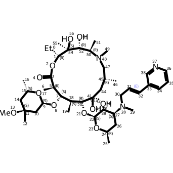 CC[C@H]1OC(=O)[C@H](C)[C@@H](O[C@H]2C[C@@](C)(OC)C[C@H](C)O2)[C@H](C)[C@@H](O[C@@H]2O[C@H](C)C[C@H](N(C)C/C=C/c3cccnc3)[C@H]2O)[C@](C)(O)C[C@@H](C)CN(C)[C@H](C)[C@@H](O)[C@]1(C)O